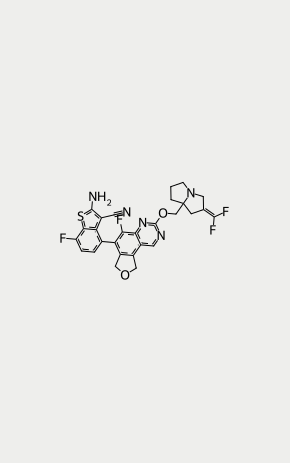 N#Cc1c(N)sc2c(F)ccc(-c3c4c(c5cnc(OCC67CCCN6CC(=C(F)F)C7)nc5c3F)COC4)c12